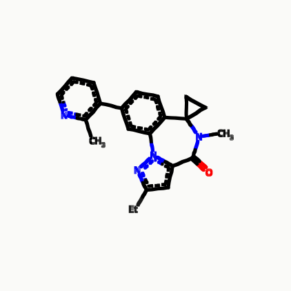 CCc1cc2n(n1)-c1cc(-c3cccnc3C)ccc1C1(CC1)N(C)C2=O